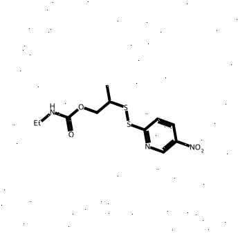 CCNC(=O)OCC(C)SSc1ccc([N+](=O)[O-])cn1